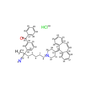 CC(C#N)(CCCCCN1CCC(=C2c3ccccc3C=Cc3ccccc32)CC1)c1cccc(C(=O)c2ccccc2)c1.Cl